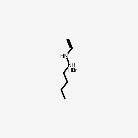 Br.C=CNNCCCC